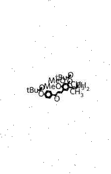 C=CC(C)(C)c1cc(C=CC(=O)c2ccc(OC(=O)C(C)(C)C)cc2)c(OC)c(OC)c1OC(=O)C(C)(C)C